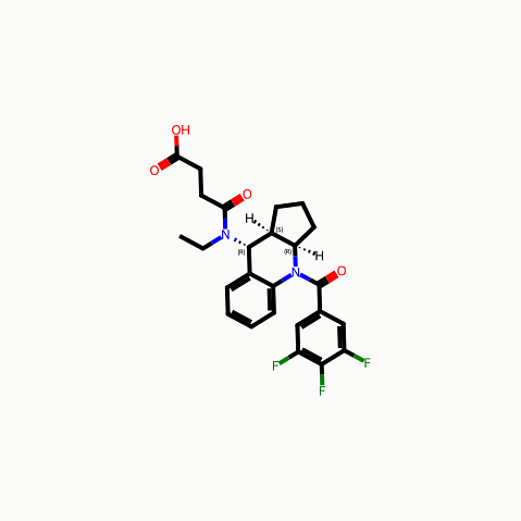 CCN(C(=O)CCC(=O)O)[C@H]1c2ccccc2N(C(=O)c2cc(F)c(F)c(F)c2)[C@@H]2CCC[C@@H]21